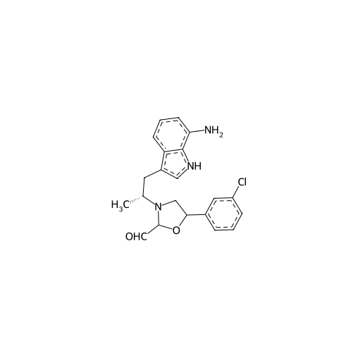 C[C@H](Cc1c[nH]c2c(N)cccc12)N1CC(c2cccc(Cl)c2)OC1C=O